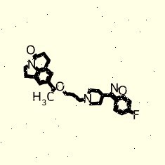 CC(OCCCN1CCC(c2noc3cc(F)ccc23)CC1)c1cc2c3c(c1)CCN3C(=O)CC2